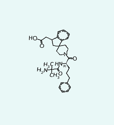 CC(C)(N)C(=O)N[C@H](CCCc1ccccc1)C(=O)N1CCC2(CC1)CC(CC(=O)O)c1ccccc12